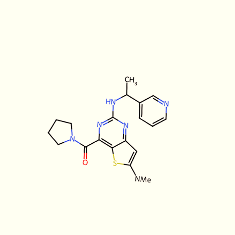 CNc1cc2nc(NC(C)c3cccnc3)nc(C(=O)N3CCCC3)c2s1